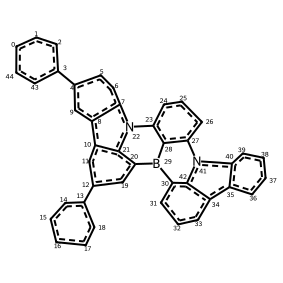 c1ccc(-c2ccc3c(c2)c2cc(-c4ccccc4)cc4c2n3-c2cccc3c2B4c2cccc4c5ccccc5n-3c24)cc1